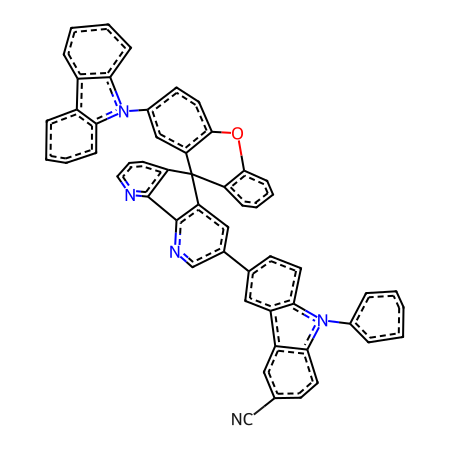 N#Cc1ccc2c(c1)c1cc(-c3cnc4c(c3)C3(c5ccccc5Oc5ccc(-n6c7ccccc7c7ccccc76)cc53)c3cccnc3-4)ccc1n2-c1ccccc1